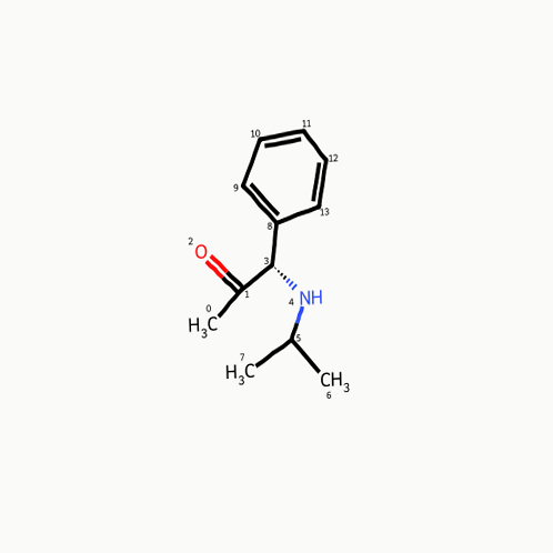 CC(=O)[C@@H](NC(C)C)c1ccccc1